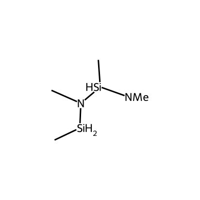 CN[SiH](C)N(C)[SiH2]C